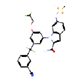 CS(=O)(=O)Nc1ccc2cc(C(N)=O)n(-c3cc(OCC(F)F)cc(C(F)(F)c4cccc(C#N)c4)c3)c2c1